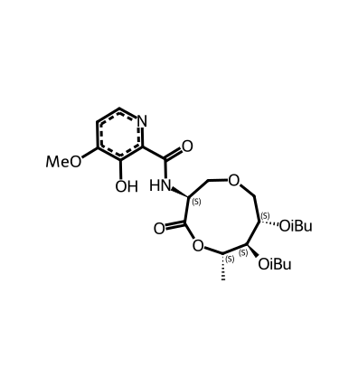 COc1ccnc(C(=O)N[C@H]2COC[C@H](OCC(C)C)[C@@H](OCC(C)C)[C@H](C)OC2=O)c1O